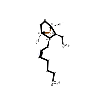 COC[C@H]1[C@@H](C/C=C\CCCC(=O)O)[C@H]2CC[C@@H]1S2